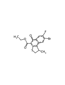 CCOC(=O)c1c2n(c3cc(Br)c(F)cc3c1=O)C(C)CS2